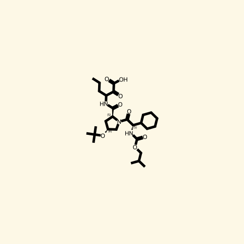 CCCC(NC(=O)[C@@H]1C[C@@H](OC(C)(C)C)CN1C(=O)[C@@H](NC(=O)OCC(C)C)C1CCCCC1)C(=O)C(=O)O